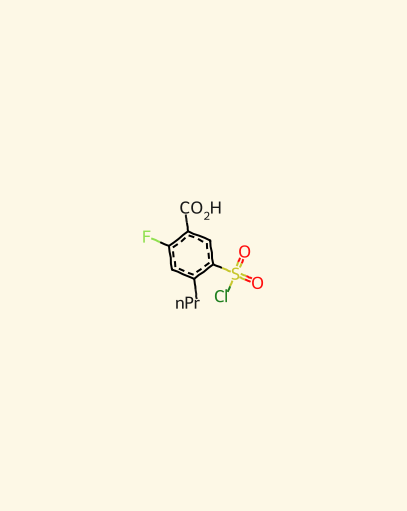 CCCc1cc(F)c(C(=O)O)cc1S(=O)(=O)Cl